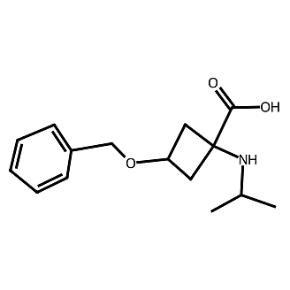 CC(C)NC1(C(=O)O)CC(OCc2ccccc2)C1